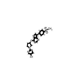 CCc1cnc(N2CCC(Oc3ncnc4c(-c5ccc(S(C)(=O)=O)cc5)csc34)C2)nc1